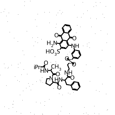 CC(C)C(=O)NC(C)C(=O)N1CCCC1C(=O)NC(Cc1ccccc1)C(=O)NCCS(=O)(=O)c1cccc(Nc2cc(S(=O)(=O)O)c(N)c3c2C(=O)c2ccccc2C3=O)c1